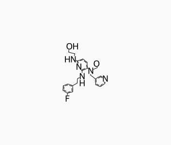 O=CN(Cc1cccnc1)c1ccc(NCCO)nc1NCCc1cccc(F)c1